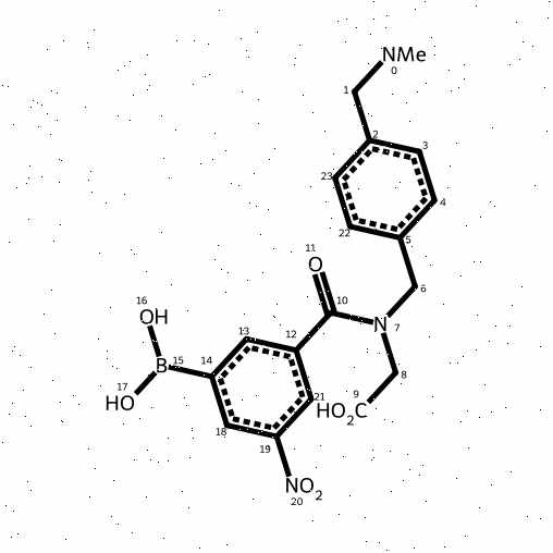 CNCc1ccc(CN(CC(=O)O)C(=O)c2cc(B(O)O)cc([N+](=O)[O-])c2)cc1